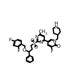 Cc1cc(-c2cc(F)c(=O)n(CC3CCNCC3)c2)nc(S(=O)(=O)CCC(OCc2ccc(F)cc2F)c2ccccc2)n1